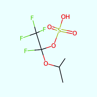 CC(C)OC(F)(OS(=O)(=O)O)C(F)(F)F